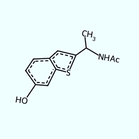 CC(=O)NC(C)c1cc2ccc(O)cc2s1